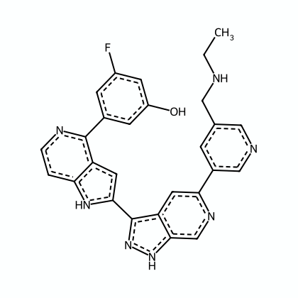 CCNCc1cncc(-c2cc3c(-c4cc5c(-c6cc(O)cc(F)c6)nccc5[nH]4)n[nH]c3cn2)c1